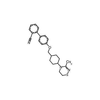 CC1=NSCCN1C1CCC(COc2ccc(-c3ccccc3C#N)cc2)CC1